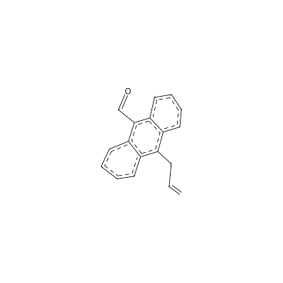 C=CCc1c2ccccc2c(C=O)c2ccccc12